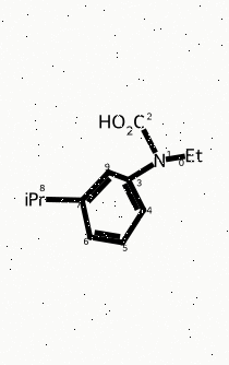 CCN(C(=O)O)c1cccc(C(C)C)c1